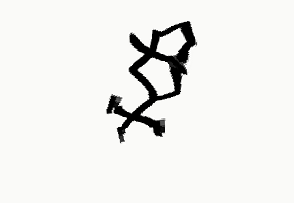 CC12CCCN1CC(C(F)(F)F)C2